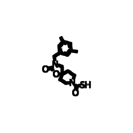 Cc1cc(C)cc(CN2CC3(CCN(C(=O)S)CC3)OC2=O)c1